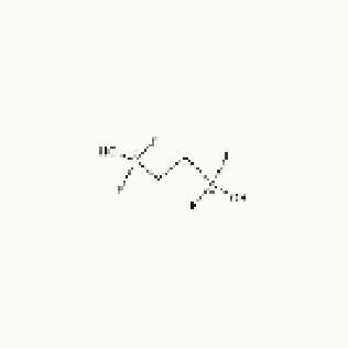 O[PH](F)(F)CC[PH](O)(F)F